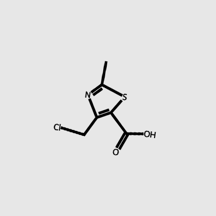 Cc1nc(CCl)c(C(=O)O)s1